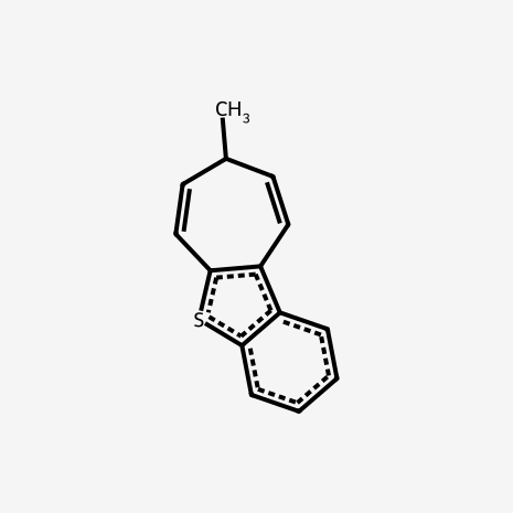 CC1C=Cc2sc3ccccc3c2C=C1